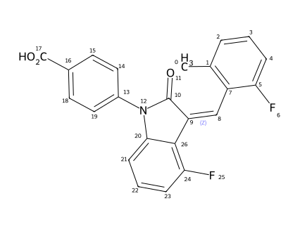 Cc1cccc(F)c1/C=C1\C(=O)N(c2ccc(C(=O)O)cc2)c2cccc(F)c21